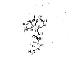 N[C@H]1CC[C@@H](NC(=O)N/C=C2\CCNC(=O)c3[nH]c4ccc(F)cc4c32)CC1